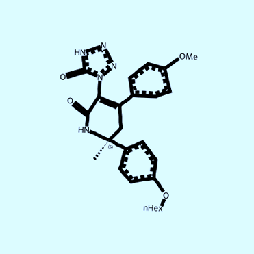 CCCCCCOc1ccc([C@]2(C)CC(c3ccc(OC)cc3)=C(n3nn[nH]c3=O)C(=O)N2)cc1